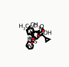 CC(C)Oc1cc(C(=O)O)cc2sc(N3C4CC(NCc5c(-c6c(Cl)cccc6Cl)noc5C5CC5)CC3C4)nc12